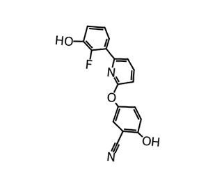 N#Cc1cc(Oc2cccc(-c3cccc(O)c3F)n2)ccc1O